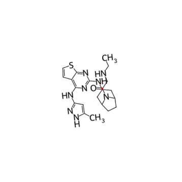 CCNCC(=O)N1C2CCC1CC(Nc1nc(Nc3cc(C)[nH]n3)c3ccsc3n1)C2